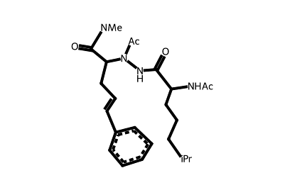 CNC(=O)C(C/C=C/c1ccccc1)N(NC(=O)C(CCCC(C)C)NC(C)=O)C(C)=O